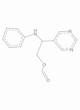 O=COCC(Nc1ccccc1)c1cncnc1